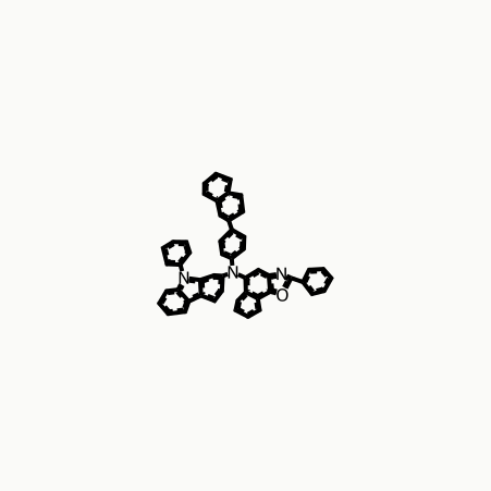 c1ccc(-c2nc3cc(N(c4ccc(-c5ccc6ccccc6c5)cc4)c4ccc5c6ccccc6n(-c6ccccc6)c5c4)c4ccccc4c3o2)cc1